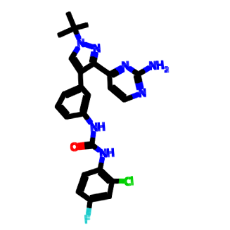 CC(C)(C)n1cc(-c2cccc(NC(=O)Nc3ccc(F)cc3Cl)c2)c(-c2ccnc(N)n2)n1